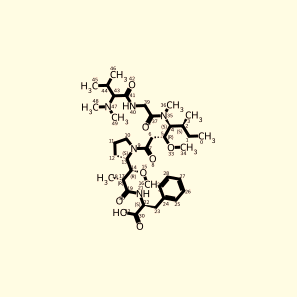 CC[C@H](C)[C@@H]([C@@H](CC(=O)N1CCC[C@H]1[C@H](OC)[C@@H](C)C(=O)N[C@@H](Cc1ccccc1)C(=O)O)OC)N(C)C(=O)CNC(=O)C(C(C)C)N(C)C